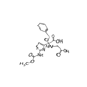 COC(=O)Nc1nc(C(NCC(=O)O)(OCc2ccccc2)C(=O)O)cs1